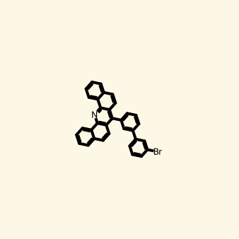 Brc1cccc(-c2cccc(-c3c4ccc5ccccc5c4nc4c3ccc3ccccc34)c2)c1